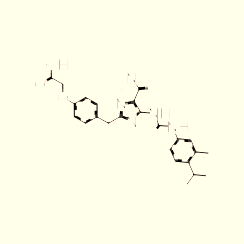 Cc1cc(NC(=O)Nc2[nH]c(Cc3ccc(OCC(=O)O)cc3)nc2C(N)=O)ccc1C(C)C